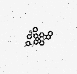 Cc1cccc(Sc2ccc(C3(c4ccc(P(=O)(c5ccccc5)c5ccccc5)cc4)c4ccccc4-n4c5ccc6ccccc6c5c5cccc3c54)cc2)c1